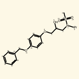 CC(C)N(CC(O)COc1ccc(OCc2ccccc2)cc1)S(C)(=O)=O